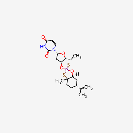 C=C(C)[C@@H]1CC[C@]2(C)S[P@@](=S)(O[C@H]3C[C@H](n4ccc(=O)[nH]c4=O)O[C@@H]3CC)O[C@H]2C1